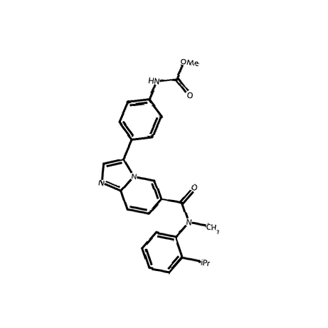 COC(=O)Nc1ccc(-c2cnc3ccc(C(=O)N(C)c4ccccc4C(C)C)cn23)cc1